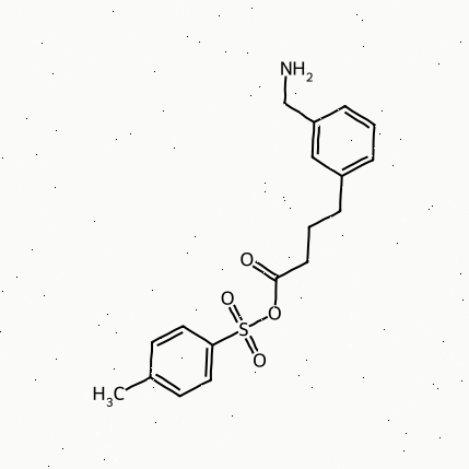 Cc1ccc(S(=O)(=O)OC(=O)CCCc2cccc(CN)c2)cc1